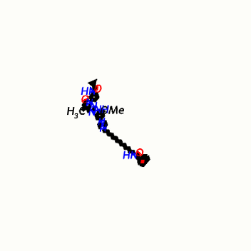 COc1cc(N2CCN(CCCCCCCCCCCCCCNC(=O)CC34CC5CC(CC(C5)C3)C4)CC2)ccc1Nc1ncc2c(C)cc(=O)n(-c3cccc(NC(=O)C4CC4)c3)c2n1